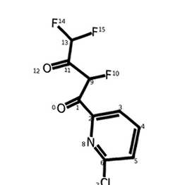 O=C(c1cccc(Cl)n1)C(F)C(=O)C(F)F